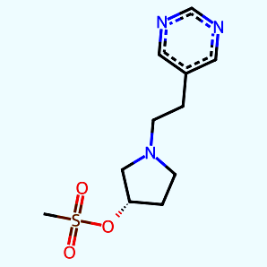 CS(=O)(=O)O[C@H]1CCN(CCc2cncnc2)C1